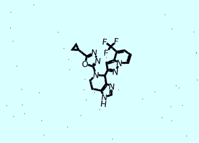 FC(F)(F)c1cccn2nc(C3c4nc[nH]c4CCN3c3nnc(C4CC4)o3)cc12